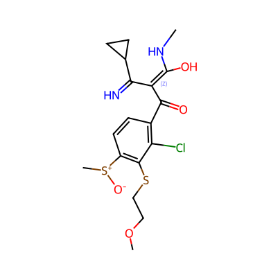 CN/C(O)=C(\C(=N)C1CC1)C(=O)c1ccc([S+](C)[O-])c(SCCOC)c1Cl